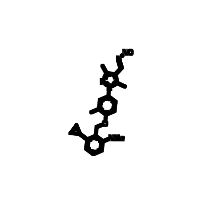 CNc1cccc(C2CC2)c1COc1ccc(-n2nc(C)c(/C=N/N=O)c2C)cc1C